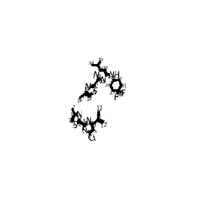 Cc1csc(-c2nc(Cl)cc(C(C)C)n2)n1.Cc1csc(-c2nc(NC3CCC(F)(F)CC3)cc(C(C)C)n2)n1